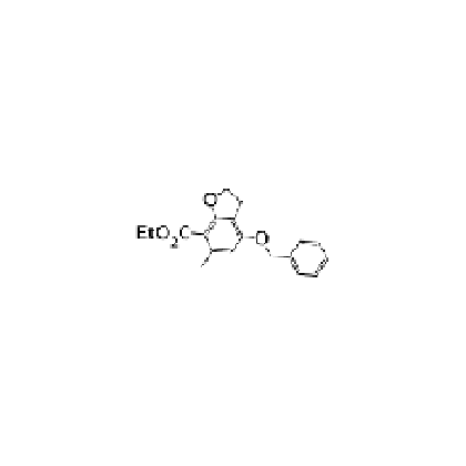 CCOC(=O)c1c(C)cc(OCc2ccccc2)c2c1OCC2